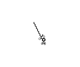 CCCCCCCCCCCCC(C(C)=O)C(=O)c1cccc([N+](=O)[O-])c1